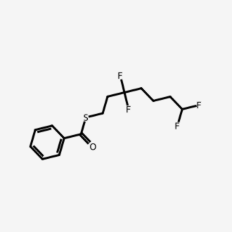 O=C(SCCC(F)(F)CCCC(F)F)c1ccccc1